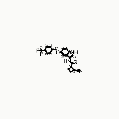 N#CC1CCC1C(=O)Nc1c[nH]c2ccc(OCc3ccc(C(F)(F)F)cc3)cc12